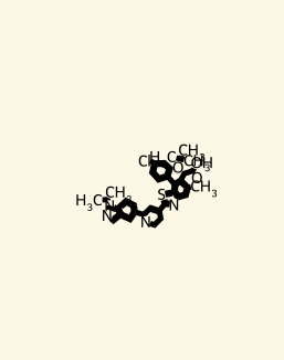 Cc1cc2nc(C3=CC(c4ccc5c(cnn5C(C)C)c4)=NCC3)sc2c(-c2ccc(Cl)cc2)c1[C@H](OC(C)(C)C)C(=O)O